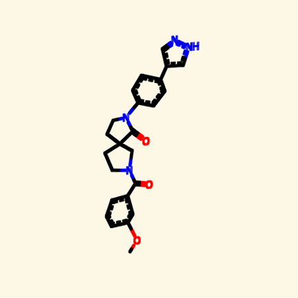 COc1cccc(C(=O)N2CCC3(CCN(c4ccc(-c5cn[nH]c5)cc4)C3=O)C2)c1